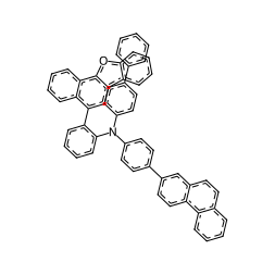 c1ccc(-c2ccc(N(c3ccc(-c4ccc5c(ccc6ccccc65)c4)cc3)c3ccccc3-c3cc4c5ccccc5oc4c4ccccc34)cc2)cc1